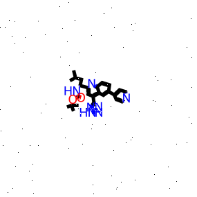 CC(C)CC(NC(=O)OC(C)(C)C)c1cc(-c2nn[nH]n2)c2cc(-c3ccncc3)ccc2n1